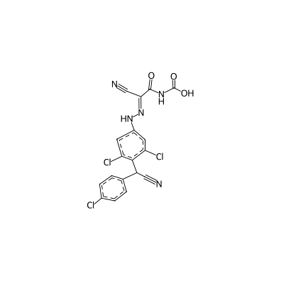 N#C/C(=N\Nc1cc(Cl)c(C(C#N)c2ccc(Cl)cc2)c(Cl)c1)C(=O)NC(=O)O